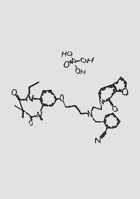 CCN1C(=O)C(C)(C)C(=O)N(C)c2cc(OCCCN(CCn3ccc4ccoc4c3=O)Cc3ccccc3C#N)ccc21.O=P(O)(O)O